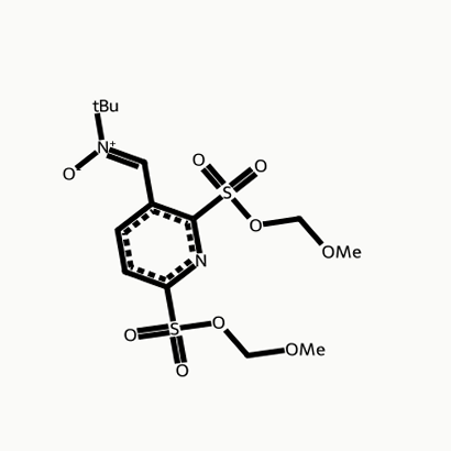 COCOS(=O)(=O)c1ccc(C=[N+]([O-])C(C)(C)C)c(S(=O)(=O)OCOC)n1